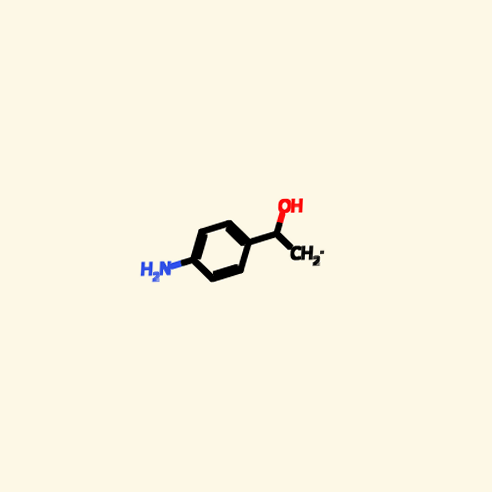 [CH2]C(O)c1ccc(N)cc1